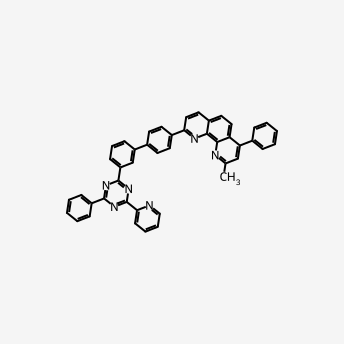 Cc1cc(-c2ccccc2)c2ccc3ccc(-c4ccc(-c5cccc(-c6nc(-c7ccccc7)nc(-c7ccccn7)n6)c5)cc4)nc3c2n1